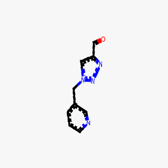 O=Cc1cn(Cc2cccnc2)nn1